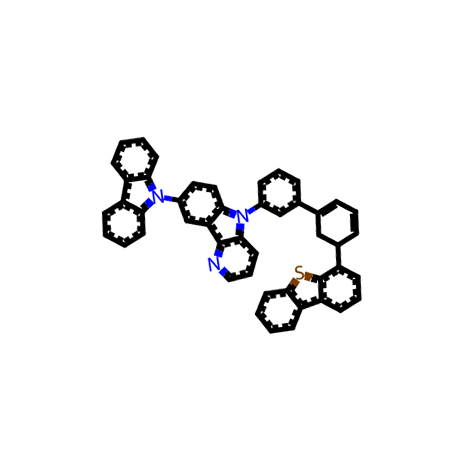 C1=CC(c2cccc3c2sc2ccccc23)CC(c2cccc(-n3c4ccc(-n5c6ccccc6c6ccccc65)cc4c4ncccc43)c2)=C1